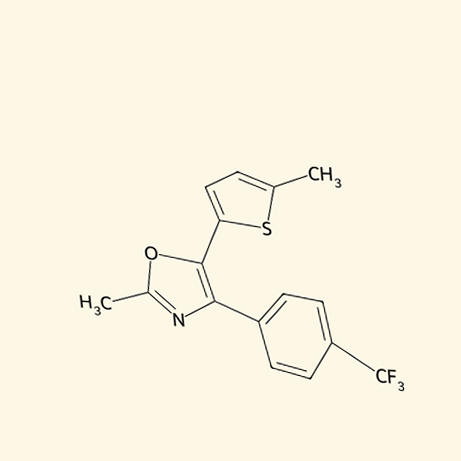 Cc1nc(-c2ccc(C(F)(F)F)cc2)c(-c2ccc(C)s2)o1